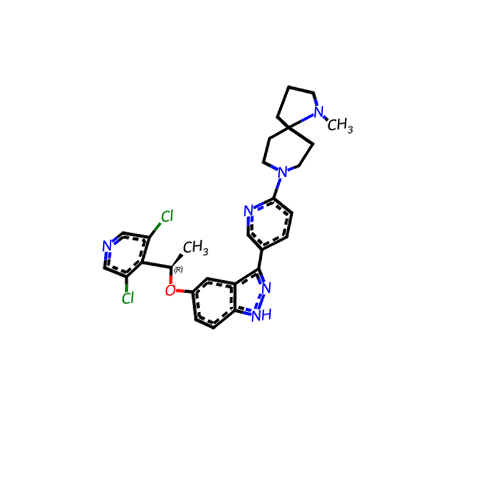 C[C@@H](Oc1ccc2[nH]nc(-c3ccc(N4CCC5(CCCN5C)CC4)nc3)c2c1)c1c(Cl)cncc1Cl